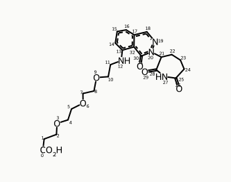 O=C(O)CCOCCOCCOCCNc1cccc2cnn(C3CCCC(=O)NC3=O)c(=O)c12